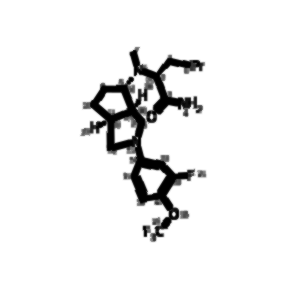 CC(C)C[C@@H](C(N)=O)N(C)[C@H]1CC[C@@H]2CN(c3ccc(OC(F)(F)F)c(F)c3)C[C@@H]21